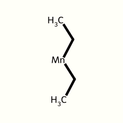 C[CH2][Mn][CH2]C